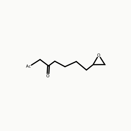 CC(=O)CC(=O)CCCCC1CO1